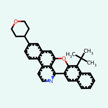 CC(C)(C)c1c2c(cc3ccccc13)-c1nccc3c1c(cc1cc(C4CCOCC4)ccc13)O2